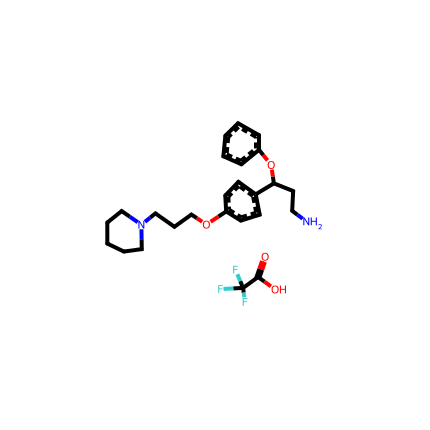 NCCC(Oc1ccccc1)c1ccc(OCCCN2CCCCC2)cc1.O=C(O)C(F)(F)F